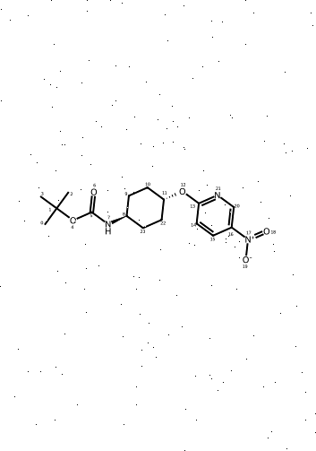 CC(C)(C)OC(=O)N[C@H]1CC[C@H](Oc2ccc([N+](=O)[O-])cn2)CC1